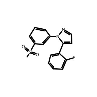 CS(=O)(=O)c1cccc(-n2nccc2-c2ccccc2F)c1